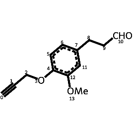 C#CCOc1ccc(CCC=O)cc1OC